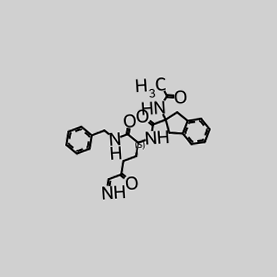 CC(=O)NC1(C(=O)N[C@@H](CCC(=O)C=N)C(=O)NCc2ccccc2)Cc2ccccc2C1